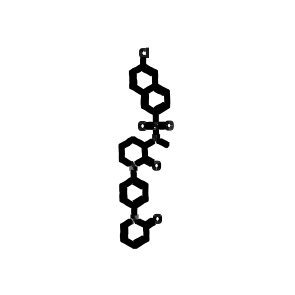 CN(C1CCCN(c2ccc(-n3ccccc3=O)cc2)C1=O)S(=O)(=O)c1ccc2cc(Cl)ccc2c1